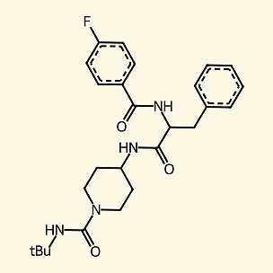 CC(C)(C)NC(=O)N1CCC(NC(=O)C(Cc2ccccc2)NC(=O)c2ccc(F)cc2)CC1